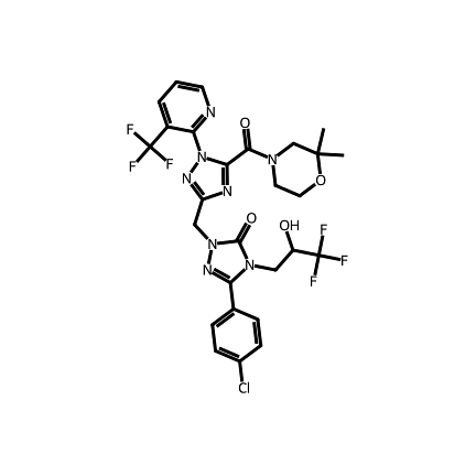 CC1(C)CN(C(=O)c2nc(Cn3nc(-c4ccc(Cl)cc4)n(CC(O)C(F)(F)F)c3=O)nn2-c2ncccc2C(F)(F)F)CCO1